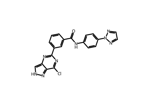 O=C(Nc1ccc(-n2nccn2)cc1)c1cccc(-c2nc(Cl)c3n[nH]cc3n2)c1